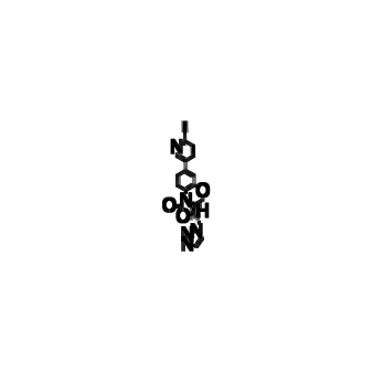 C#Cc1ccc(-c2ccc3c(c2)OC[C@H]2[C@H](Cn4ccnn4)OC(=O)N32)cn1